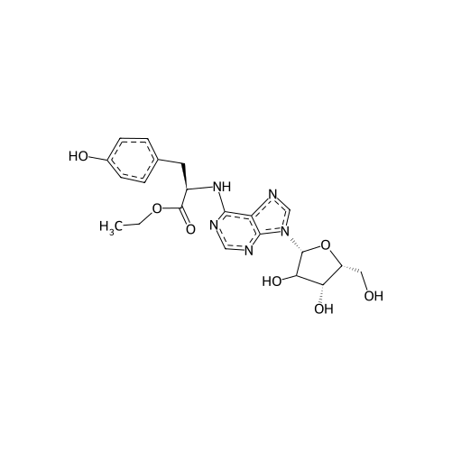 CCOC(=O)[C@@H](Cc1ccc(O)cc1)Nc1ncnc2c1ncn2[C@@H]1O[C@H](CO)[C@H](O)C1O